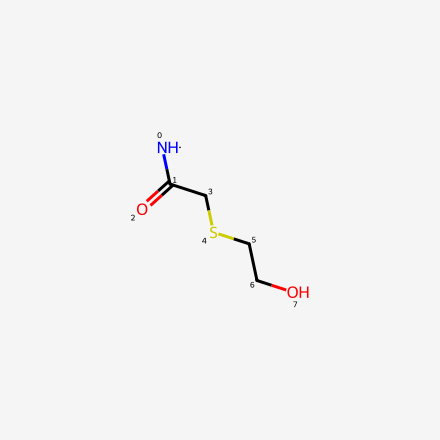 [NH]C(=O)CSCCO